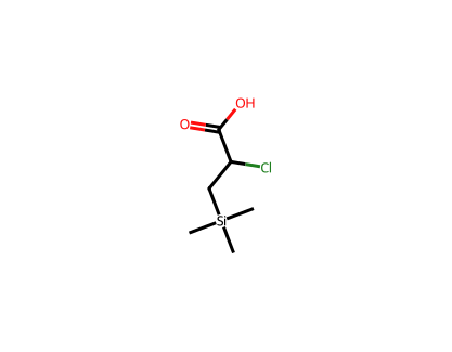 C[Si](C)(C)CC(Cl)C(=O)O